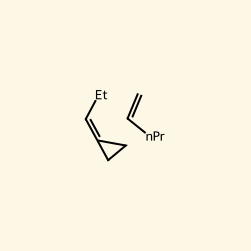 C=CCCC.CCC=C1CC1